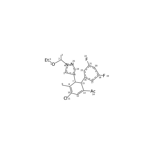 CCOC(C)n1cc(C2C(C)=C(Cl)C=C(C(C)=O)C2c2cc(F)cc(F)c2)cn1